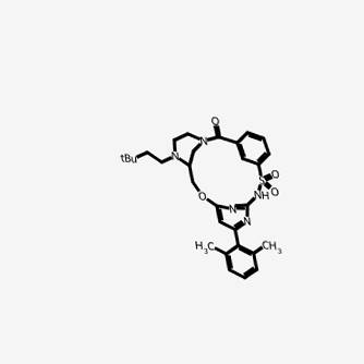 Cc1cccc(C)c1-c1cc2nc(n1)NS(=O)(=O)c1cccc(c1)C(=O)N1CCN(CCC(C)(C)C)C(CO2)C1